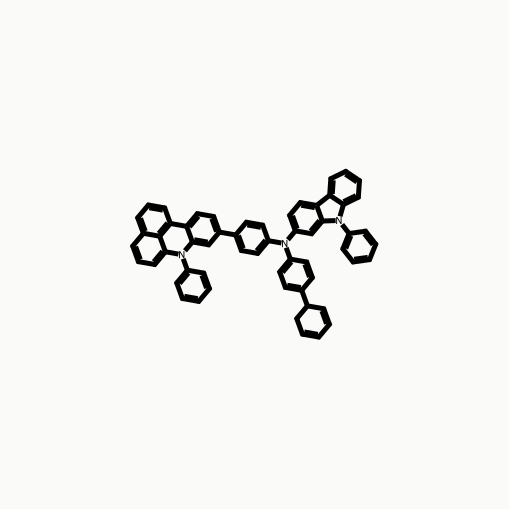 C1=CCC(c2ccc(N(c3ccc(-c4ccc5c(c4)N(c4ccccc4)c4cccc6cccc-5c46)cc3)c3ccc4c5ccccc5n(-c5ccccc5)c4c3)cc2)C=C1